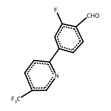 O=Cc1ccc(-c2ccc(C(F)(F)F)cn2)cc1F